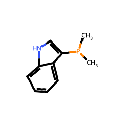 CP(C)c1c[nH]c2ccccc12